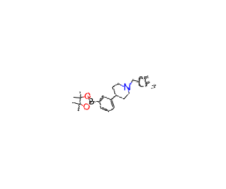 CC1(C)OB(c2cccc(C3CCN(CC(F)(F)F)CC3)c2)OC1(C)C